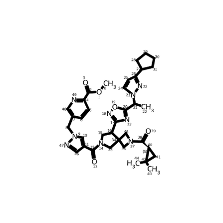 COC(=O)c1ccc(Cn2cc(C(=O)N3CC(c4noc(C(C)n5ccc(C6CCCC6)n5)n4)C4(C3)CN(C(=O)[C@H]3CC3(C)C)C4)cn2)cn1